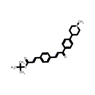 CN1CCC(c2ccc(C(=O)/C=C/c3ccc(/C=C/C(=O)OC(C)(C)C)cc3)cc2)CC1